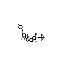 CC1CCC(CCc2cc(F)c(C(F)(F)Oc3ccc4c(F)c(C#CC(F)(F)F)c(F)cc4c3)c(F)c2)CC1